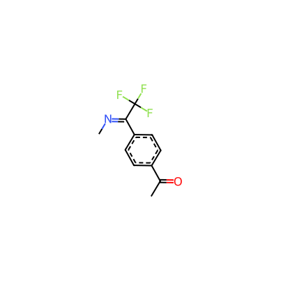 C/N=C(\c1ccc(C(C)=O)cc1)C(F)(F)F